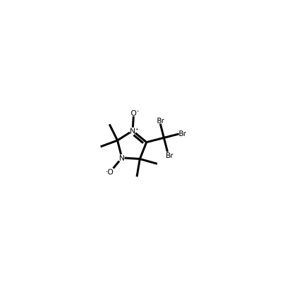 CC1(C)C(C(Br)(Br)Br)=[N+]([O-])C(C)(C)N1[O]